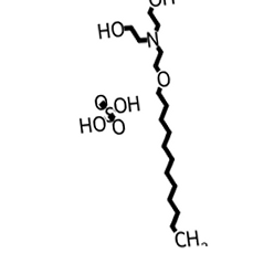 CCCCCCCCCCCCOCCN(CCO)CCO.O=S(=O)(O)O